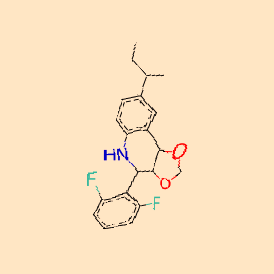 CCC(C)c1ccc2c(c1)C1OCOC1C(c1c(F)cccc1F)N2